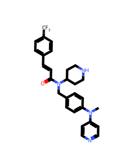 CN(c1ccncc1)c1ccc(CN(C(=O)C=Cc2ccc(C(F)(F)F)cc2)C2CCNCC2)cc1